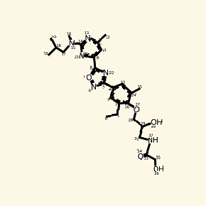 CCc1cc(-c2noc(-c3cc(C)nc(N(C)CC(C)C)n3)n2)cc(C)c1OCC(O)CNC(=O)CO